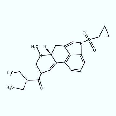 CCN(CC)C(=O)[C@@H]1C=C2c3cccc4c3c(cn4S(=O)(=O)C3CC3)C[C@H]2N(C)C1